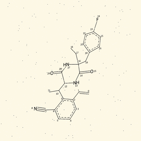 C=Cc1cccc(C#N)c1C(C)C1NC(=O)C(CC)(Cc2ccc(F)cc2)NC1=O